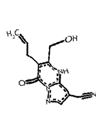 C=CCc1c(CO)[nH]c2c(C#N)cnn2c1=O